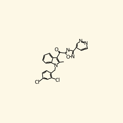 Cc1c(C(=O)c2nc(-c3ccnnc3)no2)c2ccccc2n1Cc1ccc(Cl)cc1Cl